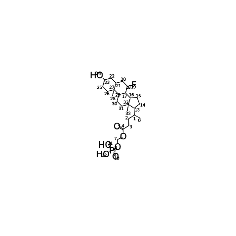 CC(CCC(=O)OCOP(=O)(O)O)C1CCC2C3C(F)CC4CC(O)CCC4(C)C3CCC12C